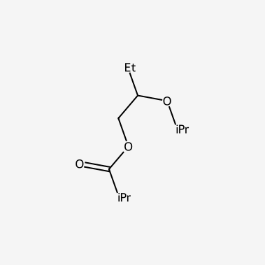 CCC(COC(=O)C(C)C)OC(C)C